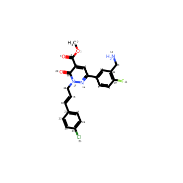 COC(=O)c1cc(-c2ccc(F)c(CN)c2)nn(CC=Cc2ccc(Cl)cc2)c1=O